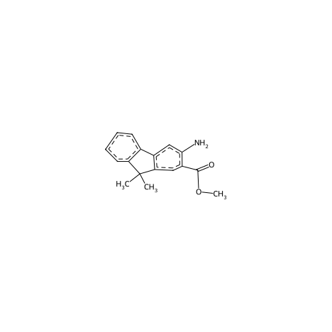 COC(=O)c1cc2c(cc1N)-c1ccccc1C2(C)C